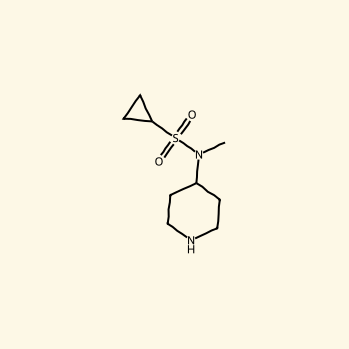 CN(C1CCNCC1)S(=O)(=O)C1CC1